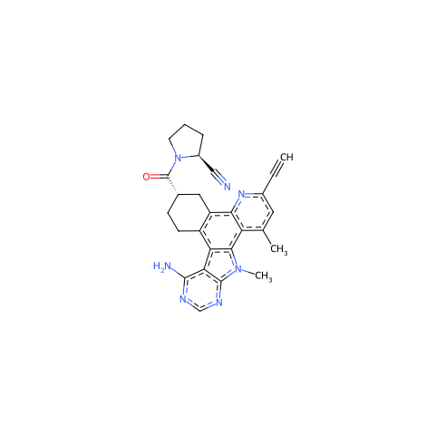 C#Cc1cc(C)c2c(n1)c1c(c3c4c(N)ncnc4n(C)c23)CC[C@H](C(=O)N2CCC[C@H]2C#N)C1